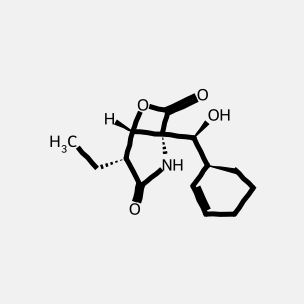 CC[C@H]1C(=O)N[C@@]2([C@@H](O)[C@@H]3C=CCCC3)C(=O)O[C@@H]12